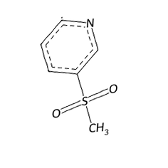 CS(=O)(=O)c1cc[c]nc1